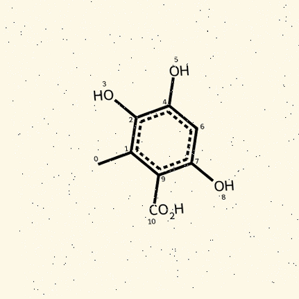 Cc1c(O)c(O)cc(O)c1C(=O)O